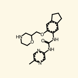 Cc1cnc(NC(=O)Nc2cc3c(cc2OCC2CNCCO2)CCC3)cn1